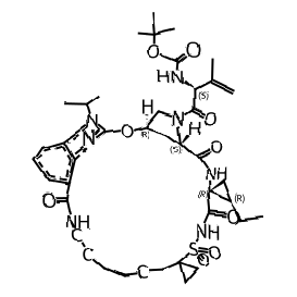 C=C(C)[C@H](NC(=O)OC(C)(C)C)C(=O)N1C[C@H]2C[C@H]1C(=O)N[C@@]1(C[C@H]1CC)C(=O)NS(=O)(=O)C1(CCCCCCNC(=O)c3cccc4c3nc(n4C(C)C)O2)CC1